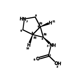 O=C(O)N[C@H]1[C@@H]2CNC[C@@H]21